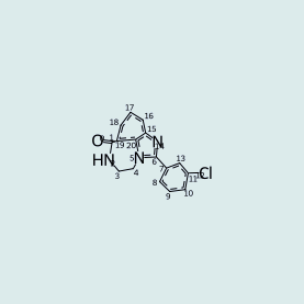 O=C1NCCn2c(-c3cccc(Cl)c3)nc3cccc1c32